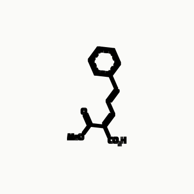 COC(=O)C(=CC=Cc1ccccc1)C(=O)O